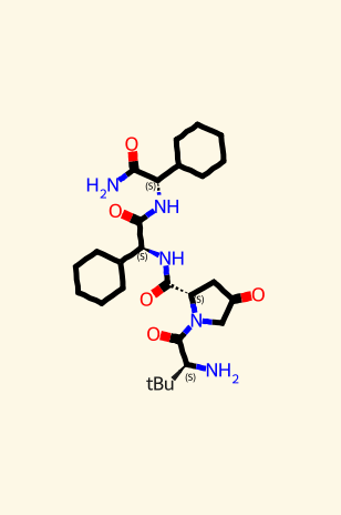 CC(C)(C)[C@H](N)C(=O)N1CC(=O)C[C@H]1C(=O)N[C@H](C(=O)N[C@H](C(N)=O)C1CCCCC1)C1CCCCC1